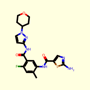 Cc1cc(F)c(C(=O)Nc2ccn(C3CCOCC3)n2)cc1NC(=O)c1cnc(N)s1